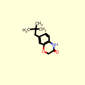 CC(C)(C)Cc1ccc2c(c1)OCC(=O)N2